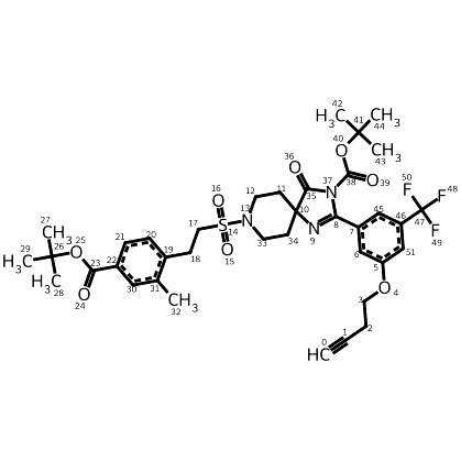 C#CCCOc1cc(C2=NC3(CCN(S(=O)(=O)CCc4ccc(C(=O)OC(C)(C)C)cc4C)CC3)C(=O)N2C(=O)OC(C)(C)C)cc(C(F)(F)F)c1